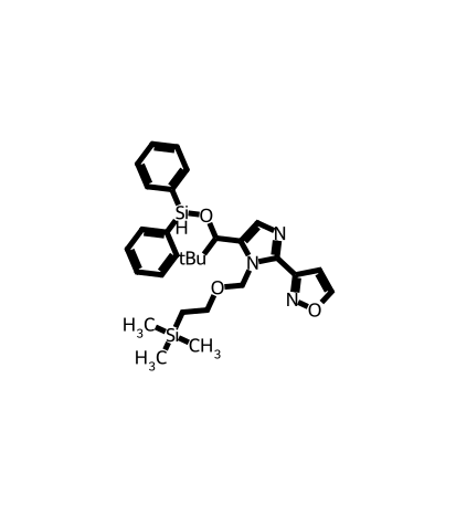 CC(C)(C)C(O[SiH](c1ccccc1)c1ccccc1)c1cnc(-c2ccon2)n1COCC[Si](C)(C)C